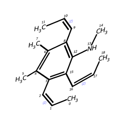 C/C=C\c1c(C)c(C)c(/C=C\C)c(NC)c1/C=C\C